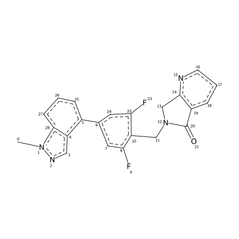 Cn1ncc2c(-c3cc(F)c(CN4Cc5ncccc5C4=O)c(F)c3)cccc21